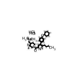 CCCCc1nnc(C(=O)N2CCC(CN(C)C)C(F)(F)C2)cc1-c1ccc(OC2CCCCC2)cc1.Cl.Cl